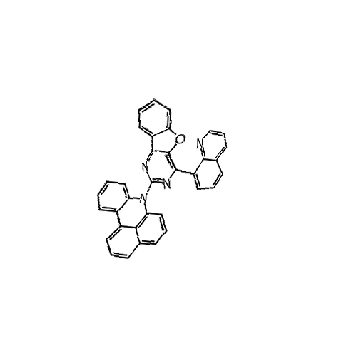 c1ccc2c(c1)-c1cccc3cccc(c13)N2c1nc(-c2cccc3cccnc23)c2oc3ccccc3c2n1